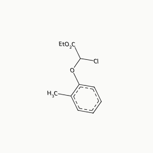 CCOC(=O)C(Cl)Oc1ccccc1C